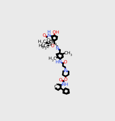 Cc1cc(NC(=O)CCN2CCC(OC(=O)Nc3ccccc3-c3ccccc3)CC2)c(C)cc1/C=N/C[C@H](O[Si](C)(C)C(C)(C)C)c1ccc(O)c(NC=O)c1